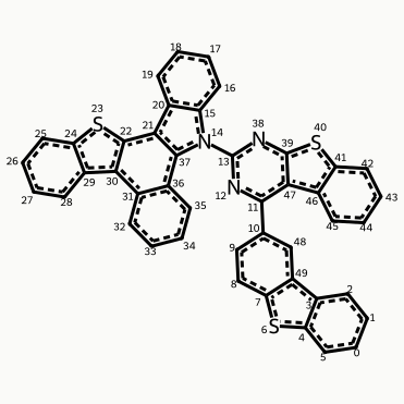 c1ccc2c(c1)sc1ccc(-c3nc(-n4c5ccccc5c5c6sc7ccccc7c6c6ccccc6c54)nc4sc5ccccc5c34)cc12